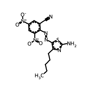 CCCCCc1nc(N)sc1/N=N/c1c(C#N)cc([N+](=O)[O-])cc1[N+](=O)[O-]